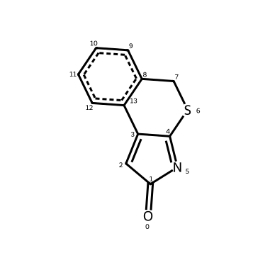 O=C1C=C2C(=N1)SCc1ccccc12